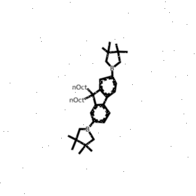 CCCCCCCCC1(CCCCCCCC)c2cc(B3CC(C)(C)C(C)(C)C3)ccc2-c2ccc(B3CC(C)(C)C(C)(C)C3)cc21